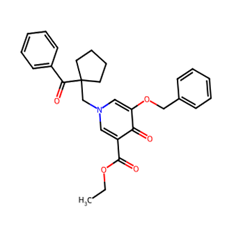 CCOC(=O)c1cn(CC2(C(=O)c3ccccc3)CCCC2)cc(OCc2ccccc2)c1=O